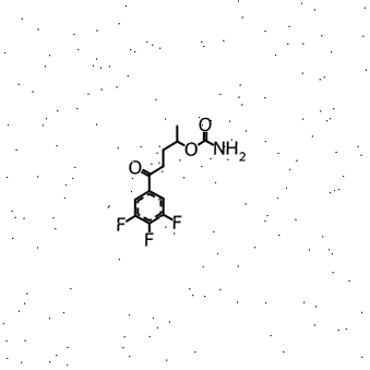 CC(CCC(=O)c1cc(F)c(F)c(F)c1)OC(N)=O